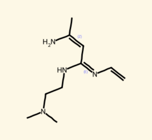 C=C/N=C(\C=C(\C)N)NCCN(C)C